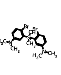 CN(C)c1ccc(Br)c([Si](C)(C)c2cc(N(C)C)ccc2Br)c1